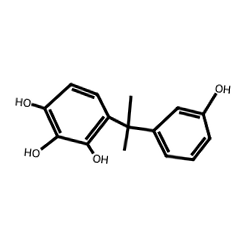 CC(C)(c1cccc(O)c1)c1ccc(O)c(O)c1O